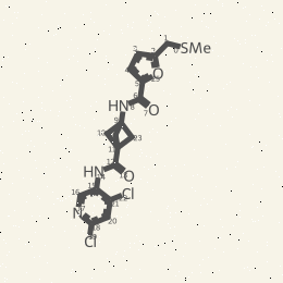 CSCc1ccc(C(=O)NC23CC(C(=O)Nc4cnc(Cl)cc4Cl)(C2)C3)o1